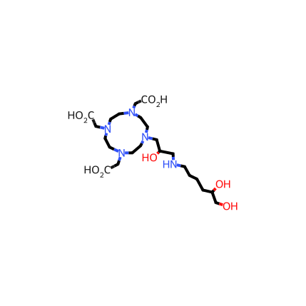 O=C(O)CN1CCN(CC(=O)O)CCN(CC(O)CNCCCCC(O)CO)CCN(CC(=O)O)CC1